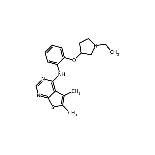 CCN1CCC(Oc2ccccc2Nc2ncnc3sc(C)c(C)c23)C1